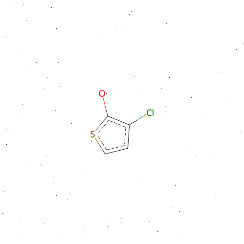 [O]c1sccc1Cl